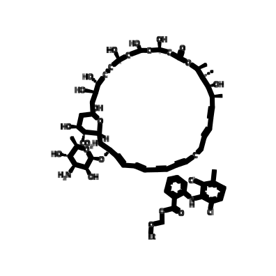 CCOCOC(=O)c1ccccc1Nc1c(Cl)ccc(C)c1Cl.C[C@@H]1[C@H](O)[C@@H](C)/C=C/C=C/CC/C=C/C=C/C=C/C=C/[C@H](O[C@@H]2O[C@H](C)[C@@H](O)[C@H](N)[C@@H]2O)C[C@@H]2O[C@](O)(C[C@@H](O)[C@H](O)CC[C@@H](O)C[C@@H](O)C[C@@H](O)CC(=O)O[C@H]1C)C[C@H](O)[C@H]2C(=O)O